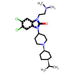 CC(C)[C@H]1CC[C@@H](N2CCC(n3c(=O)n(CCN(C)C)c4cc(Cl)c(Cl)cc43)CC2)CC1